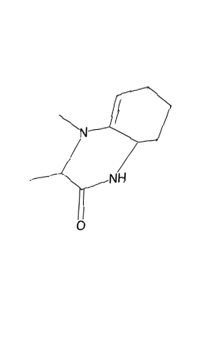 CC1C(=O)NC2CCCC=C2N1C